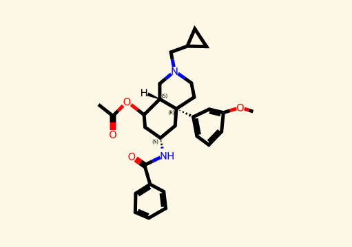 COc1cccc([C@@]23CCN(CC4CC4)C[C@H]2C(OC(C)=O)C[C@@H](NC(=O)c2ccccc2)C3)c1